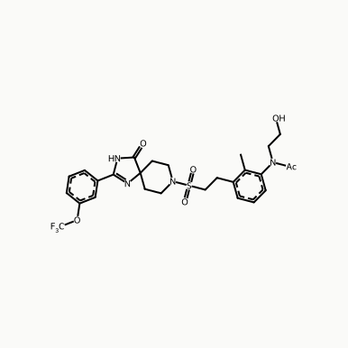 CC(=O)N(CCO)c1cccc(CCS(=O)(=O)N2CCC3(CC2)N=C(c2cccc(OC(F)(F)F)c2)NC3=O)c1C